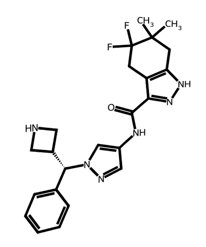 CC1(C)Cc2[nH]nc(C(=O)Nc3cnn([C@H](c4ccccc4)C4CNC4)c3)c2CC1(F)F